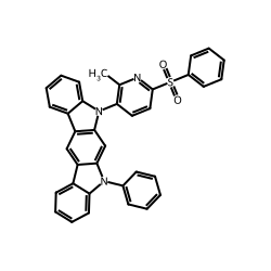 Cc1nc(S(=O)(=O)c2ccccc2)ccc1-n1c2ccccc2c2cc3c4ccccc4n(-c4ccccc4)c3cc21